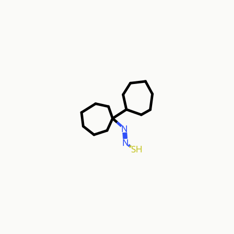 SN=NC1(C2CCCCCC2)CCCCCC1